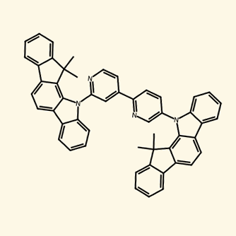 CC1(C)c2ccccc2-c2ccc3c4ccccc4n(-c4ccc(-c5ccnc(-n6c7ccccc7c7ccc8c(c76)C(C)(C)c6ccccc6-8)c5)nc4)c3c21